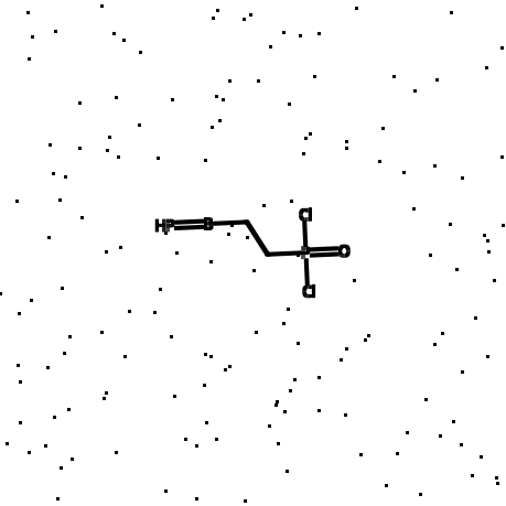 O=P(Cl)(Cl)CCB=P